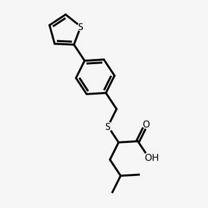 CC(C)CC(SCc1ccc(-c2cccs2)cc1)C(=O)O